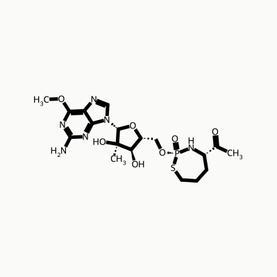 COc1nc(N)nc2c1ncn2[C@@H]1O[C@H](CO[P@]2(=O)N[C@H](C(C)=O)CCCS2)[C@@H](O)[C@@]1(C)O